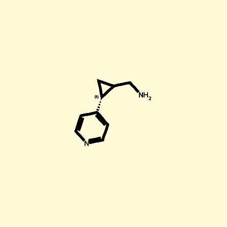 NCC1C[C@H]1c1ccncc1